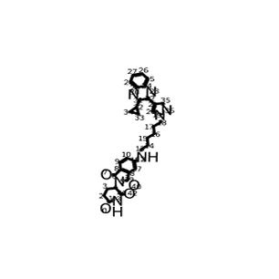 O=C1CCC(N2C(=O)c3ccc(NCCCCCCn4cc(-c5nc6ccccc6nc5C5CC5)cn4)cc3C2=O)C(=O)N1